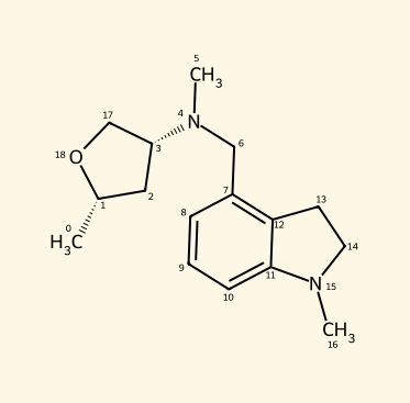 C[C@H]1C[C@@H](N(C)Cc2cccc3c2CCN3C)CO1